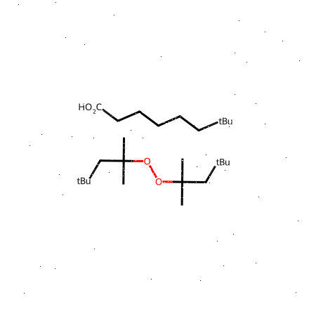 CC(C)(C)CC(C)(C)OOC(C)(C)CC(C)(C)C.CC(C)(C)CCCCCC(=O)O